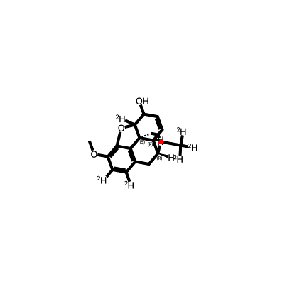 [2H]c1c([2H])c(OC)c2c3c1C[C@@H]1[C@@H]4C=CC(O)C([2H])(O2)[C@]34CCN1C([2H])([2H])[2H]